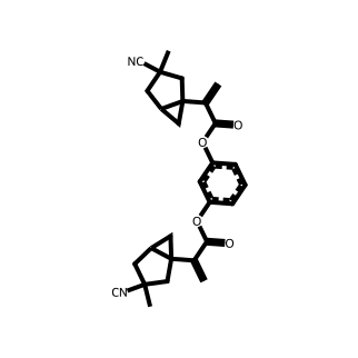 [C-]#[N+]C1(C)CC2CC2(C(=C)C(=O)Oc2cccc(OC(=O)C(=C)C34CC3CC(C)(C#N)C4)c2)C1